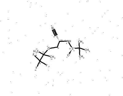 CC(C)(C)[S@@+]([O-])N[C@@H](C#N)COC(C)(C)C(F)(F)F